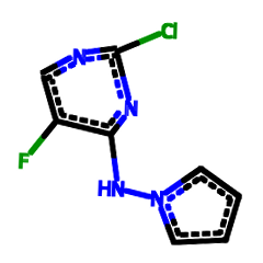 Fc1cnc(Cl)nc1Nn1cccc1